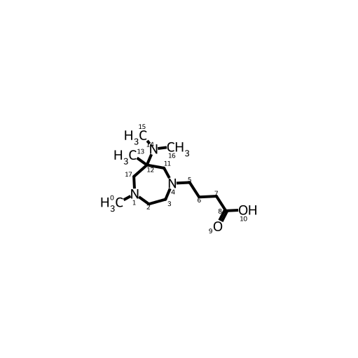 CN1CCN(CCCC(=O)O)CC(C)(N(C)C)C1